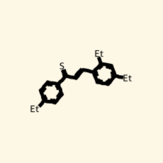 CCc1ccc(C(=S)C=Cc2ccc(CC)cc2CC)cc1